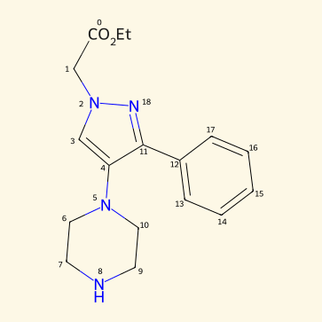 CCOC(=O)Cn1cc(N2CCNCC2)c(-c2ccccc2)n1